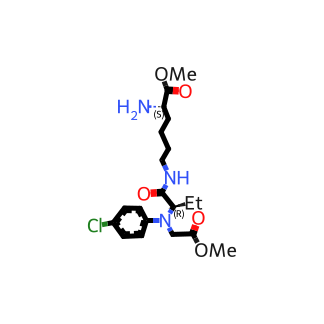 CC[C@H](C(=O)NCCCC[C@H](N)C(=O)OC)N(CC(=O)OC)c1ccc(Cl)cc1